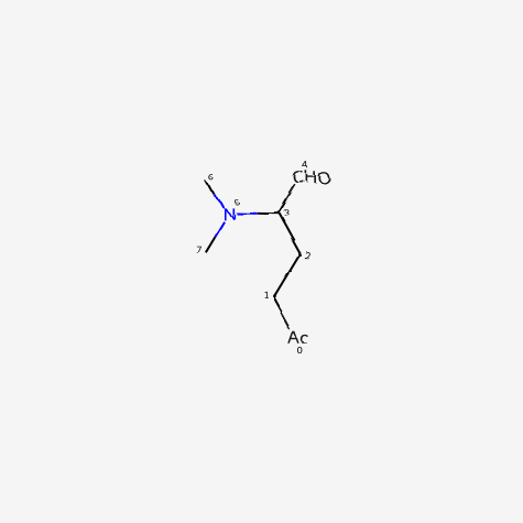 CC(=O)CCC(C=O)N(C)C